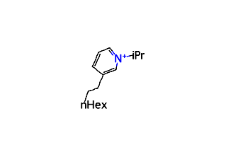 CCCCCCCCc1ccc[n+](C(C)C)c1